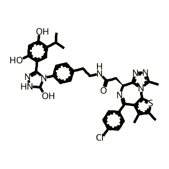 Cc1sc2c(c1C)C(c1ccc(Cl)cc1)=N[C@@H](CC(=O)NCCc1ccc(N3C(c4cc(C(C)C)c(O)cc4O)=NNC3O)cc1)c1nnc(C)n1-2